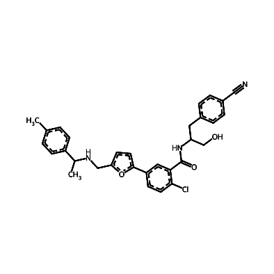 Cc1ccc(C(C)NCc2ccc(-c3ccc(Cl)c(C(=O)NC(CO)Cc4ccc(C#N)cc4)c3)o2)cc1